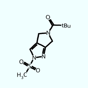 CC(C)(C)C(=O)N1Cc2cn(S(C)(=O)=O)nc2C1